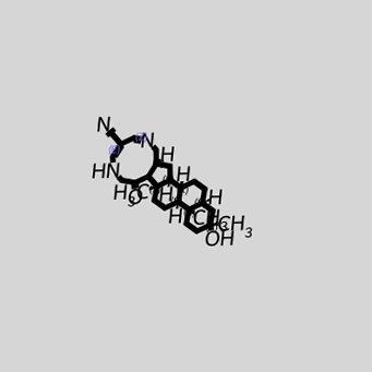 C[C@@]1(O)CC[C@@]2(C)[C@@H](CC[C@@H]3[C@@H]2CC[C@]2(C)C4C(=O)CN/C=C(C#N)\C=N/C[C@@H]4C[C@@H]32)C1